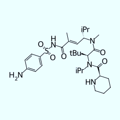 C/C(=C\[C@H](C(C)C)N(C)C(=O)[C@@H](N(C(=O)[C@H]1CCCCN1)C(C)C)C(C)(C)C)C(=O)NS(=O)(=O)c1ccc(N)cc1